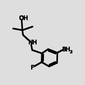 Bc1ccc(F)c(CNCC(C)(C)O)c1